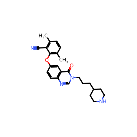 Cc1ccc(C)c(Oc2ccc3ncn(CCCC4CCNCC4)c(=O)c3c2)c1C#N